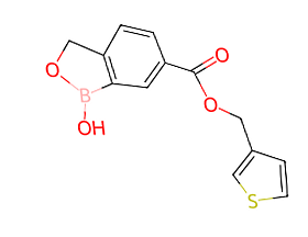 O=C(OCc1ccsc1)c1ccc2c(c1)B(O)OC2